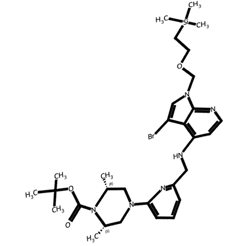 C[C@@H]1CN(c2cccc(CNc3ccnc4c3c(Br)cn4COCC[Si](C)(C)C)n2)C[C@H](C)N1C(=O)OC(C)(C)C